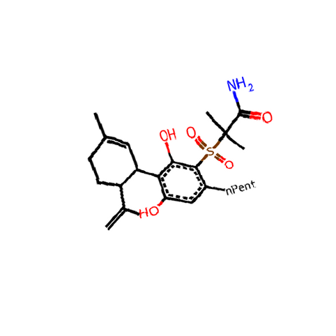 C=C(C)C1CCC(C)=CC1c1c(O)cc(CCCCC)c(S(=O)(=O)C(C)(C)C(N)=O)c1O